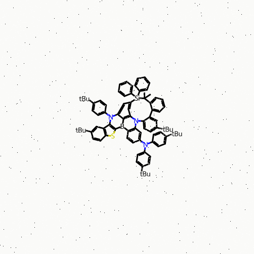 CC(C)(C)c1ccc(N(c2ccc(C(C)(C)C)cc2)c2ccc3c(c2)N2c4ccc(C(C)(C)C)cc4-c4ccccc4C(C)(C)[Si](c4ccccc4)(c4ccccc4)c4cc2c2c(c4)N(c4ccc(C(C)(C)C)cc4)c4c(sc5ccc(C(C)(C)C)cc45)B32)cc1